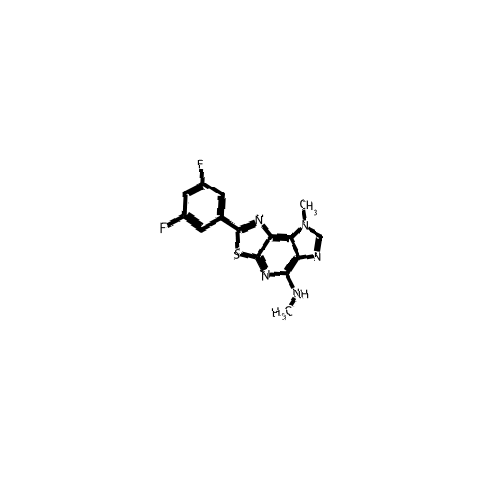 CNc1nc2sc(-c3cc(F)cc(F)c3)nc2c2c1ncn2C